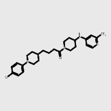 O=C(CCCC1CCN(c2ccc(Cl)cc2)CC1)N1CCC(Nc2ccnc(C(F)(F)F)c2)CC1